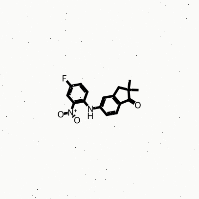 CC1(C)Cc2cc(Nc3ccc(F)cc3[N+](=O)[O-])ccc2C1=O